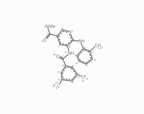 CNC(=O)c1cnc(Nc2ccccc2C)c(NC(=O)c2cc(C(F)(F)F)cc(C(F)(F)F)c2)c1